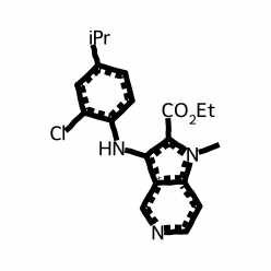 CCOC(=O)c1c(Nc2ccc(C(C)C)cc2Cl)c2cnccc2n1C